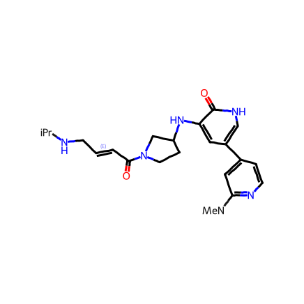 CNc1cc(-c2c[nH]c(=O)c(NC3CCN(C(=O)/C=C/CNC(C)C)C3)c2)ccn1